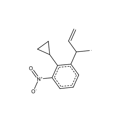 [CH2]C(C=C)c1cccc([N+](=O)[O-])c1C1CC1